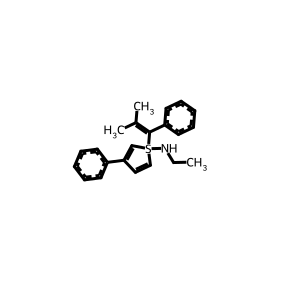 CCNS1(C(=C(C)C)c2ccccc2)C=CC(c2ccccc2)=C1